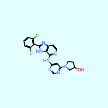 OC1CCN(c2cc(Nc3nccc4nc(-c5c(Cl)cccc5Cl)[nH]c34)ncn2)C1